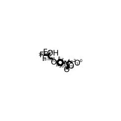 COC[C@H]1CN(c2ccc(OCCC(O)C(F)(F)F)cc2)C(=O)O1